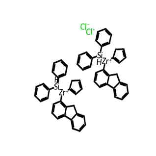 C1=CC[C]([Zr+]([c]2cccc3c2Cc2ccccc2-3)[SiH](c2ccccc2)c2ccccc2)=C1.C1=CC[C]([Zr+]([c]2cccc3c2Cc2ccccc2-3)[SiH](c2ccccc2)c2ccccc2)=C1.[Cl-].[Cl-]